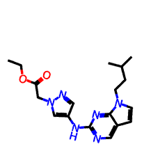 CCOC(=O)Cn1cc(Nc2ncc3ccn(CCC(C)C)c3n2)cn1